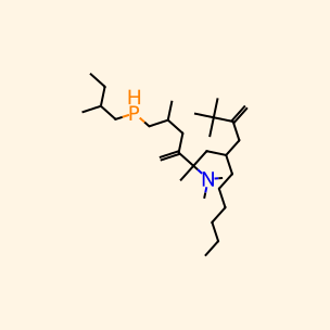 C=C(CC(CCCCCC)CC(C)(C(=C)CC(C)CPCC(C)CC)N(C)C)C(C)(C)C